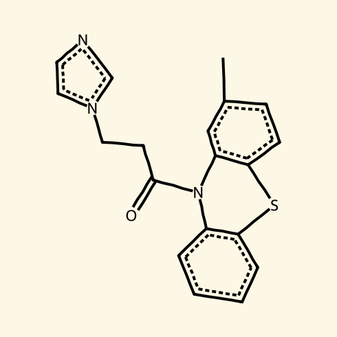 Cc1ccc2c(c1)N(C(=O)CCn1ccnc1)c1ccccc1S2